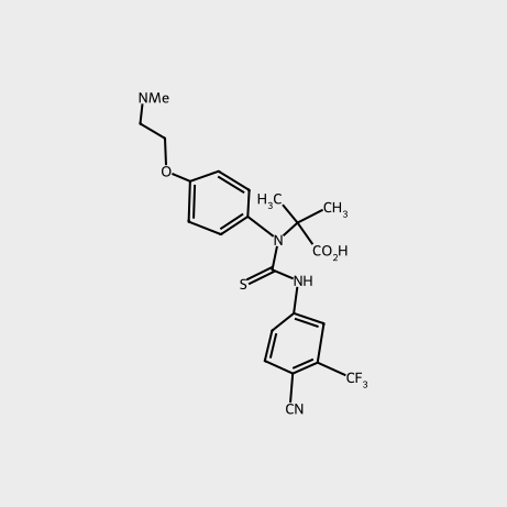 CNCCOc1ccc(N(C(=S)Nc2ccc(C#N)c(C(F)(F)F)c2)C(C)(C)C(=O)O)cc1